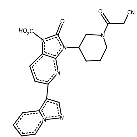 N#CCC(=O)N1CCCC(n2c(=O)n(C(=O)O)c3ccc(-c4cnn5ccccc45)nc32)C1